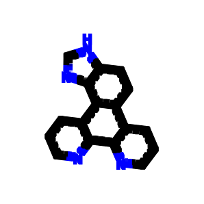 c1cnc2c(c1)c1ccc3[nH]cnc3c1c1cccnc12